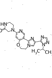 CC(C)n1ncnc1-c1cn2c(n1)-c1cnc(N3CCNC(=O)C3)cc1OCC2